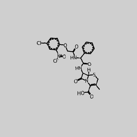 CC1=C(C(=O)O)N2C(=O)C(NC(=O)[C@@H](NC(=O)COc3ccc(Cl)cc3[N+](=O)[O-])c3ccccc3)[C@@H]2SC1